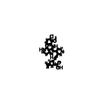 COc1c(Cl)cccc1Nc1c(-c2ccncc2C#C[C@H]2CC3(CC3)CN2C(=O)O)[nH]c2c1C(=O)NCC2